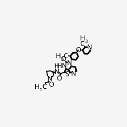 C=CC(=O)N1CCC[C@@H](NC(=O)c2sc3nccc4c3c2NC(=O)N4c2ccc(Oc3cccnc3C)cc2C)C1